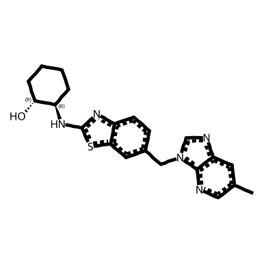 Cc1cnc2c(c1)ncn2Cc1ccc2nc(N[C@@H]3CCCC[C@H]3O)sc2c1